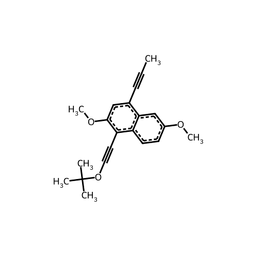 CC#Cc1cc(OC)c(C#COC(C)(C)C)c2ccc(OC)cc12